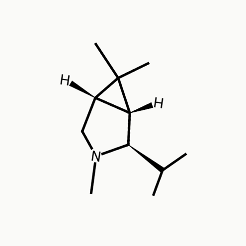 CC(C)[C@@H]1[C@@H]2[C@H](CN1C)C2(C)C